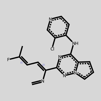 C=N/C(=C\C=C(/C)F)c1nc(Nc2ccncc2Cl)c2cccn2n1